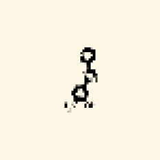 Nc1ccc(-c2nc(-c3cccnc3)no2)cc1O